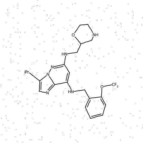 CC(C)c1cnc2c(NCc3ccccc3OC(F)(F)F)cc(NCC3CNCCO3)nn12